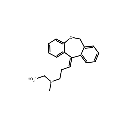 CN(CCC=C1c2ccccc2COc2ccccc21)CC(=O)O